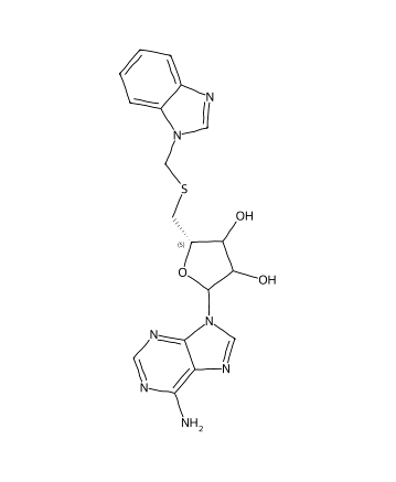 Nc1ncnc2c1ncn2C1O[C@H](CSCn2cnc3ccccc32)C(O)C1O